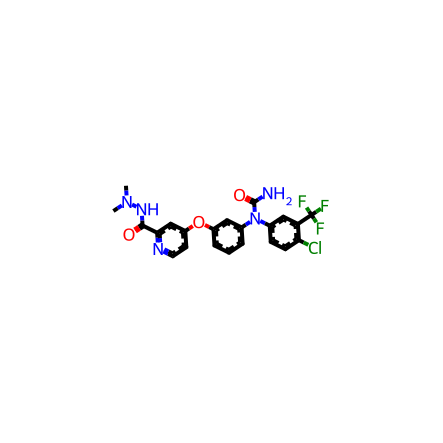 CN(C)NC(=O)c1cc(Oc2cccc(N(C(N)=O)c3ccc(Cl)c(C(F)(F)F)c3)c2)ccn1